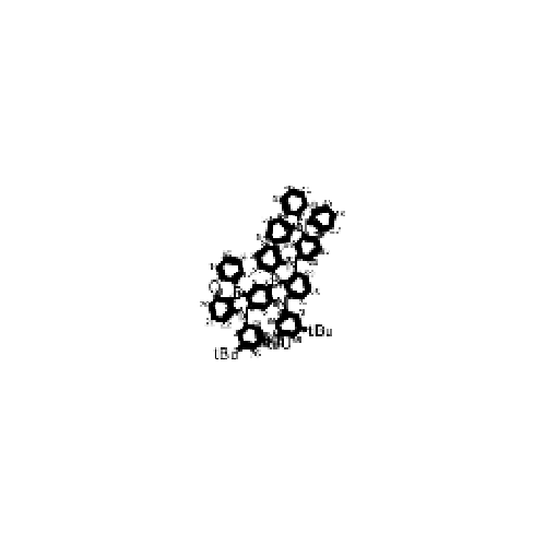 CC(C)(C)c1cc(N2c3cc4c(cc3B3c5ccccc5Oc5cccc2c53)B2c3ccccc3N(c3cccc([Si](c5ccccc5)(c5ccccc5)c5ccccc5)c3)c3cccc(c32)N4c2cc(C(C)(C)C)cc(C(C)(C)C)c2)cc(C(C)(C)C)c1